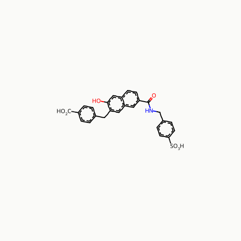 O=C(O)c1ccc(Cc2cc3cc(C(=O)NCc4ccc(S(=O)(=O)O)cc4)ccc3cc2O)cc1